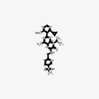 COc1ncnc(C2CC2)c1-c1nc(C)c2nc(NCc3ccc(S(C)(=N)=O)cn3)c(=O)n([C@@H](C)C(F)(F)F)c2n1